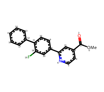 COC(=O)c1ccnc(-c2ccc(-c3ccccc3)c(F)c2)c1